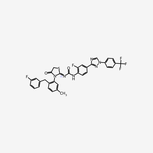 Cc1ccc(Cc2cccc(F)c2)c(N2C(=O)CS/C2=N\C(=O)Nc2ccc(-c3ncn(-c4ccc(C(F)(F)F)cc4)n3)cc2F)c1